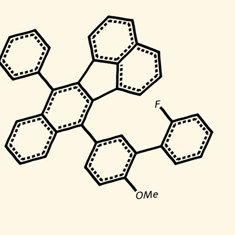 COc1ccc(-c2c3c(c(-c4ccccc4)c4ccccc24)-c2cccc4cccc-3c24)cc1-c1ccccc1F